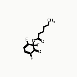 CCCCCC(=O)OC1(F)C(=O)C(F)=CC=C1F